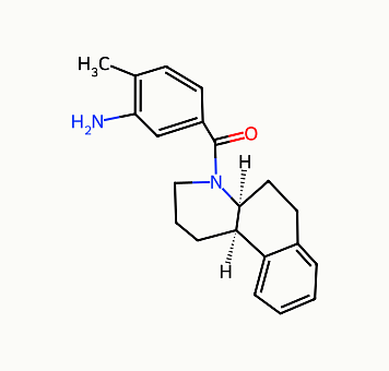 Cc1ccc(C(=O)N2CCC[C@@H]3c4ccccc4CC[C@@H]32)cc1N